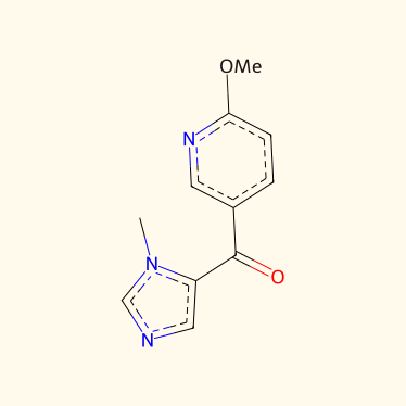 COc1ccc(C(=O)c2cncn2C)cn1